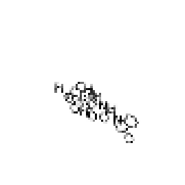 CC1(C)S[C@@H]2C(NC(=O)Cn3ccc(=O)c4ccccc43)C(=O)N2[C@H]1C(=O)O